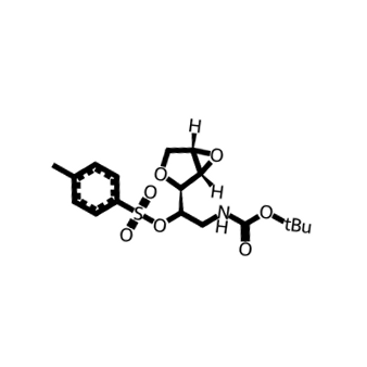 Cc1ccc(S(=O)(=O)OC(CNC(=O)OC(C)(C)C)[C@H]2OC[C@@H]3O[C@@H]32)cc1